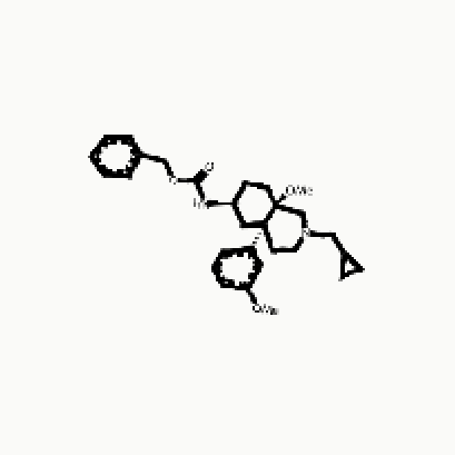 COc1cccc([C@@]23CCN(CC4CC4)C[C@@]2(OC)CC[C@H](NC(=O)OCc2ccccc2)C3)c1